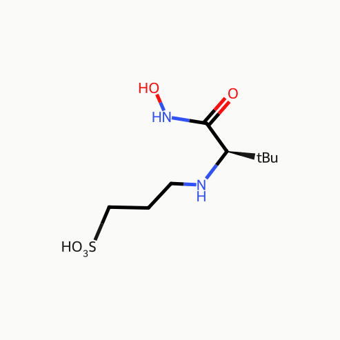 CC(C)(C)[C@@H](NCCCS(=O)(=O)O)C(=O)NO